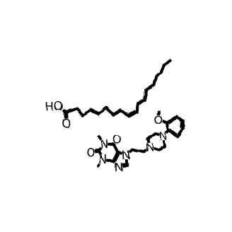 CCCCCCCC/C=C\CCCCCCCC(=O)O.COc1ccccc1N1CCN(CCn2cnc3c2c(=O)n(C)c(=O)n3C)CC1